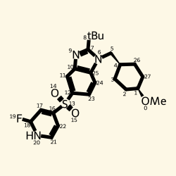 CO[C@H]1CC[C@@H](Cn2c(C(C)(C)C)nc3cc(S(=O)(=O)C4=CC(F)NC=C4)ccc32)CC1